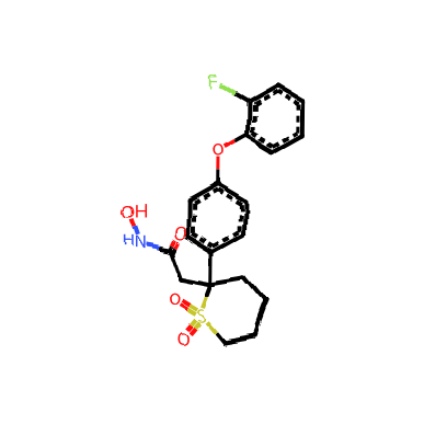 O=C(CC1(c2ccc(Oc3ccccc3F)cc2)CCCCS1(=O)=O)NO